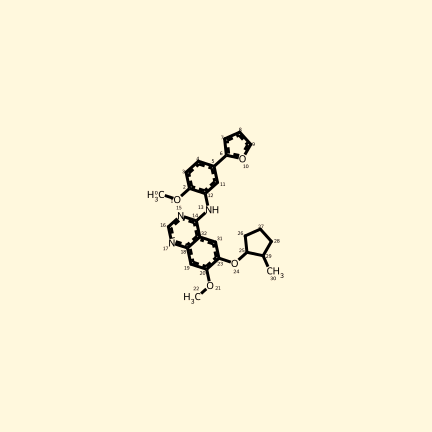 COc1ccc(-c2ccco2)cc1Nc1ncnc2cc(OC)c(OC3CCCC3C)cc12